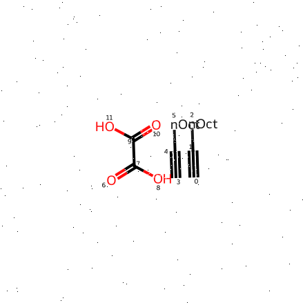 C#CCCCCCCCC.C#CCCCCCCCC.O=C(O)C(=O)O